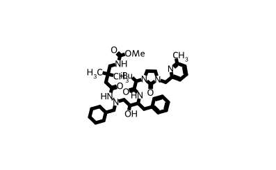 CCC(C)C(C(=O)NC(Cc1ccccc1)C(O)CN(CC1CCCCC1)NC(=O)CC(C)(C)CNC(=O)OC)N1CCN(Cc2cccc(C)n2)C1=O